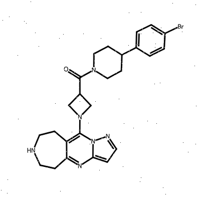 O=C(C1CN(c2c3c(nc4ccnn24)CCNCC3)C1)N1CCC(c2ccc(Br)cc2)CC1